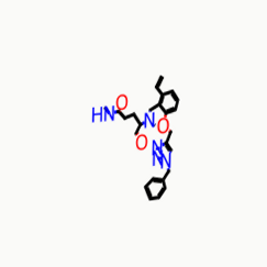 C=Cc1cccc(OCc2cn(Cc3ccccc3)nn2)c1CN(C)C(C=O)CCC(=O)NC